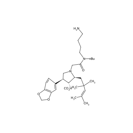 CCCCN(CCCCN)C(=O)CN1C[C@H](c2ccc3c(c2)OCO3)[C@@H](C(=O)O)[C@@H]1CC(C)(C)C=C(C)C